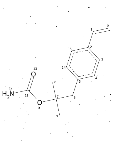 C=Cc1ccc(CC(C)(C)OC(N)=O)cc1